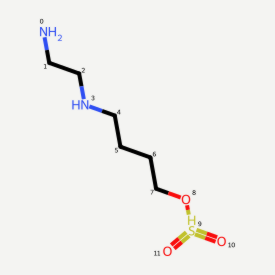 NCCNCCCCO[SH](=O)=O